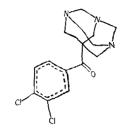 O=C(c1ccc(Cl)c(Cl)c1)C12CN3CN(CN(C3)C1)C2